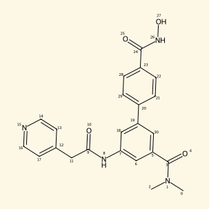 CN(C)C(=O)c1cc(NC(=O)Cc2ccncc2)cc(-c2ccc(C(=O)NO)cc2)c1